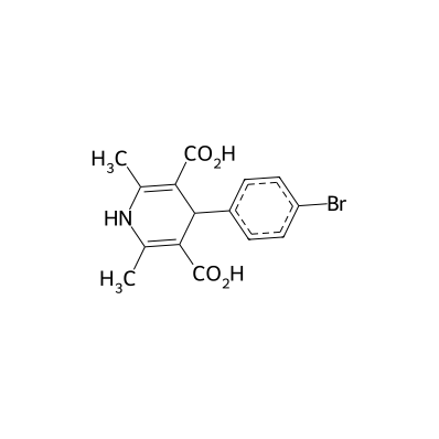 CC1=C(C(=O)O)C(c2ccc(Br)cc2)C(C(=O)O)=C(C)N1